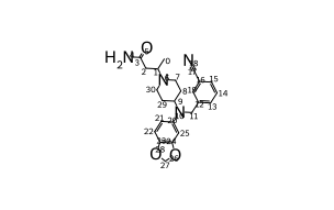 CC(CC(N)=O)N1CCC(N(Cc2cccc(C#N)c2)c2ccc3c(c2)OCO3)CC1